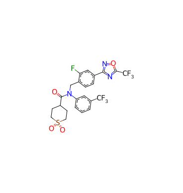 O=C(C1CCS(=O)(=O)CC1)N(Cc1ccc(-c2noc(C(F)(F)F)n2)cc1F)c1cccc(C(F)(F)F)c1